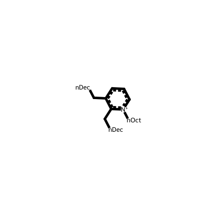 CCCCCCCCCCCc1ccc[n+](CCCCCCCC)c1CCCCCCCCCCC